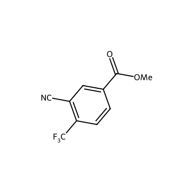 COC(=O)c1ccc(C(F)(F)F)c(C#N)c1